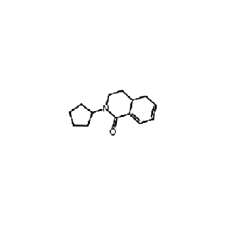 O=C1C2=CC=CCC2CCN1C1CCCC1